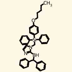 CCCCCOc1ccc([Si](Cn2ccnc2BC(c2ccccc2)c2ccccc2)(c2ccccc2)c2ccccc2)cc1